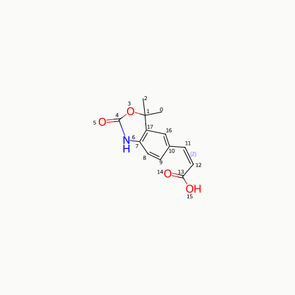 CC1(C)OC(=O)Nc2ccc(/C=C\C(=O)O)cc21